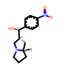 O=[N+]([O-])c1ccc([C@H](O)[C@@H]2C[C@@H]3CCCN3C2)cc1